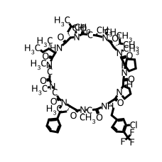 CC[C@H](C)[C@@H]1NC(=O)[C@H](CC(C)C)N(C)C(=O)C[C@@H](C)N(C)C(=O)[C@H](C(C)C)N(C)C(=O)C2(CCCC2)NC(=O)[C@@H]2CCCN2C(=O)[C@H](CCc2ccc(C(F)(F)F)c(Cl)c2)NC(=O)CN(C)C(=O)[C@H](CCc2ccccc2)N(C)C(=O)CN(C)C(=O)CN(C)C1=O